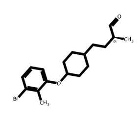 Cc1c(Br)cccc1OC1CCC(CC[C@H](C)C=O)CC1